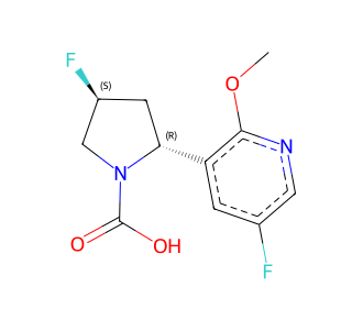 COc1ncc(F)cc1[C@H]1C[C@H](F)CN1C(=O)O